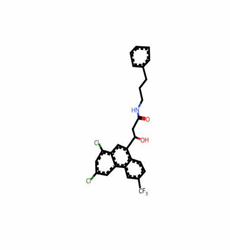 O=C(CC(O)c1cc2c(Cl)cc(Cl)cc2c2cc(C(F)(F)F)ccc12)NCCCc1ccccc1